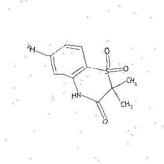 [2H]c1ccc2c(c1)NC(=O)C(C)(C)S2(=O)=O